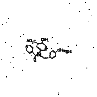 CCCCCCCc1ccc(CN(C(=O)c2ccncc2)c2ccc(O)c(C(=O)O)c2)cc1